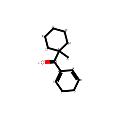 CC1(C(=O)C2=CCCC=C2)CCCCC1